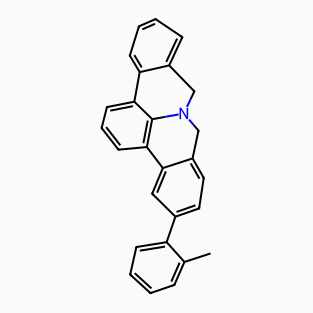 Cc1ccccc1-c1ccc2c(c1)-c1cccc3c1N(Cc1ccccc1-3)C2